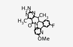 COc1cccc(-c2cc(F)ccc2C2NC(=O)c3c(C)nc(N)nc3C2C)n1